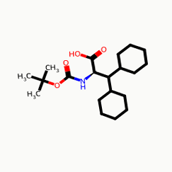 CC(C)(C)OC(=O)N[C@@H](C(=O)O)C(C1CCCCC1)C1CCCCC1